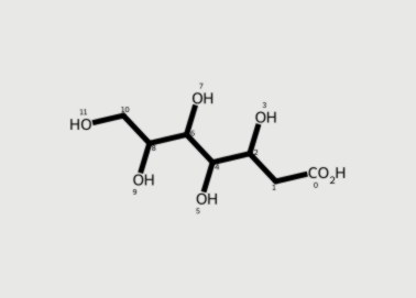 O=C(O)CC(O)C(O)C(O)C(O)CO